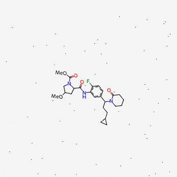 COC(=O)N1CC(OC)CC1C(=O)Nc1cc(C(CCC2CC2)N2CCCCC2=O)ccc1F